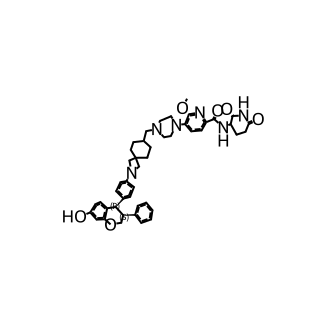 COc1nc(C(=O)NC2CCC(=O)NC2=O)ccc1N1CCN(CC2CCC3(CC2)CN(c2ccc([C@@H]4c5ccc(O)cc5OC[C@@H]4c4ccccc4)cc2)C3)CC1